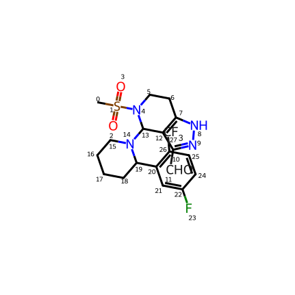 CS(=O)(=O)N1CCc2[nH]nc(C=O)c2C1N1CCCCC1c1cc(F)ccc1C(F)(F)F